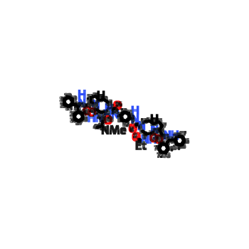 CCC(=O)N[C@H]1CN(C(=O)Nc2ccc(NC(=O)N3CC[C@H]4CC[C@@H](C(=O)NC(c5ccccc5)c5ccccc5)N4C(=O)[C@@H](NC(=O)[C@H](C)NC)C3)cc2)CC[C@H]2CCC(C(=O)NC(c3ccccc3)c3ccccc3)N2C1=O